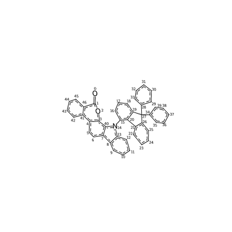 O=c1oc2c(ccc3c4ccccc4n(-c4cccc5c4-c4ccccc4C5(c4ccccc4)c4ccccc4)c32)c2ccccc12